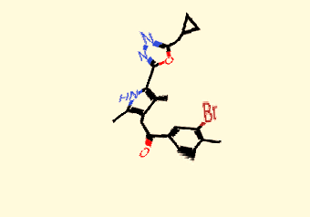 Cc1ccc(C(=O)c2c(C)[nH]c(-c3nnc(C4CC4)o3)c2C)cc1Br